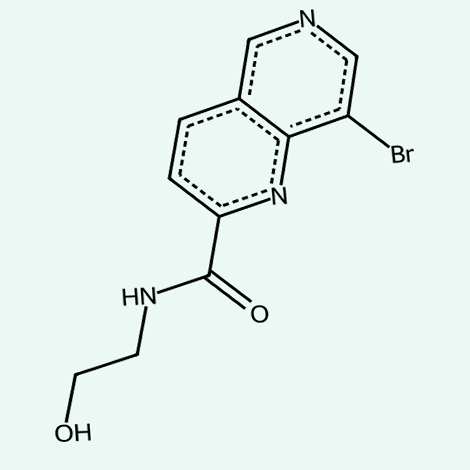 O=C(NCCO)c1ccc2cncc(Br)c2n1